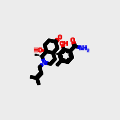 CC(C)=CCN1CC[C@]2(c3c(C)ccc(C(N)=O)c3O)CC(=O)CC[C@@]2(O)[C@H]1C